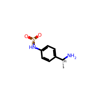 C[C@@H](N)c1ccc(N[SH](=O)=O)cc1